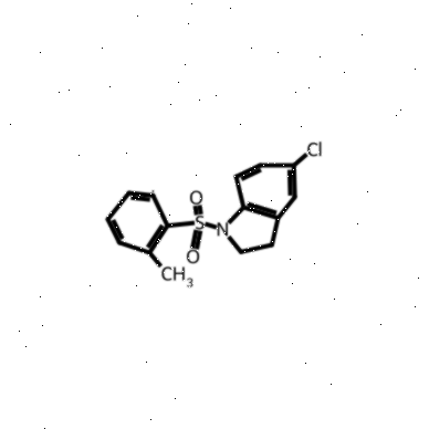 Cc1ccc[c]c1S(=O)(=O)N1CCc2cc(Cl)ccc21